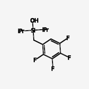 CC(C)[Si](O)(Cc1cc(F)c(F)c(F)c1F)C(C)C